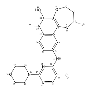 C[C@H]1CCOC2=C(N1)c1cc(Nc3nc(N4CCOCC4)ncc3Cl)ccc1N(C)C2O